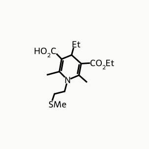 CCOC(=O)C1=C(C)N(CCSC)C(C)=C(C(=O)O)C1CC